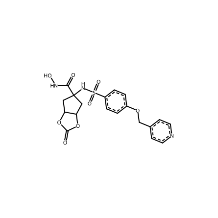 O=C1OC2CC(NS(=O)(=O)c3ccc(OCc4ccncc4)cc3)(C(=O)NO)CC2O1